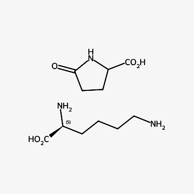 NCCCC[C@H](N)C(=O)O.O=C1CCC(C(=O)O)N1